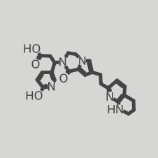 O=C(O)CC(c1ccc(O)nc1)N1CCn2cc(CCc3ccc4c(n3)NCCC4)cc2C1=O